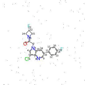 O=C(Cn1cc(Cl)c2ncc(-c3ccc(F)cc3)cc21)N1CC(F)C1